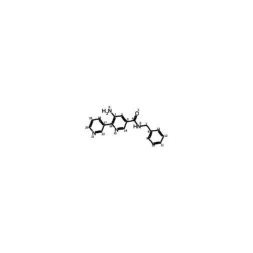 Nc1cc(C(=O)NCc2ccccc2)cnc1-c1cccnc1